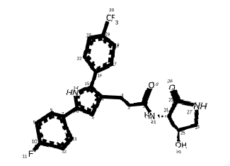 O=C(CCc1cc(-c2ccc(F)cc2)[nH]c1-c1ccc(C(F)(F)F)cc1)N[C@@H]1C(=O)NC[C@H]1O